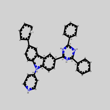 c1ccc(-c2ccc3c(c2)c2cc(-c4nc(-c5ccccc5)nc(-c5ccccc5)n4)ccc2n3-c2ccncc2)cc1